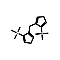 C[Si](C)(C)C1=CC[C]=C1CC1=[C]CC=C1[Si](C)(C)C